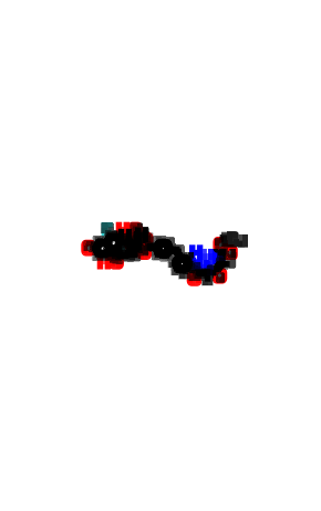 C[C@H](NC(=O)OC(C)(C)C)C(=O)N[C@@H](C)C(=O)Nc1cccc(Cc2ccc(C3O[C@@H]4C[C@H]5C6C[C@H](F)C7=CC(=O)C=CC7(C)[C@@]6(F)C(O)CC5(C)[C@]4(C(=O)CO)O3)cc2)c1